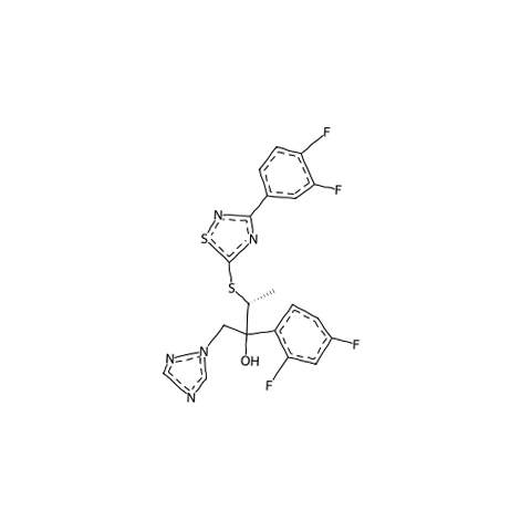 C[C@@H](Sc1nc(-c2ccc(F)c(F)c2)ns1)C(O)(Cn1cncn1)c1ccc(F)cc1F